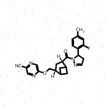 Cc1ccc(C2CC=NN2C(=O)[C@H]2C[C@@H](COc3cnc(C#N)cn3)C3CC2C3)c(F)c1